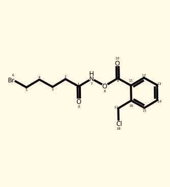 O=C(CCCCBr)NOC(=O)c1ccccc1CCl